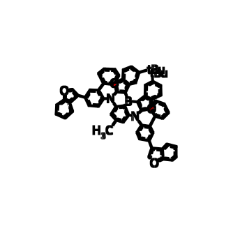 Cc1cc2c3c(c1)N(c1ccc(-c4coc5ccccc45)cc1-c1ccccc1)c1oc4ccc(C(C)(C)C)cc4c1B3c1c(oc3ccc(C(C)(C)C)cc13)N2c1ccc(-c2coc3ccccc23)cc1-c1ccccc1